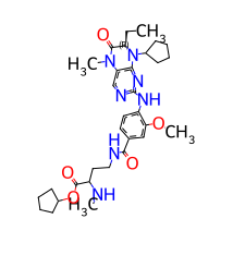 CC[C@@H]1C(=O)N(C)c2cnc(Nc3ccc(C(=O)NCCC(NC)C(=O)OC4CCCC4)cc3OC)nc2N1C1CCCC1